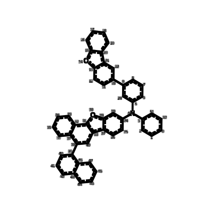 c1ccc(N(c2cccc(-c3ccc4oc5ccccc5c4c3)c2)c2ccc3c(c2)oc2c4ccccc4c(-c4cccc5ccccc45)cc32)cc1